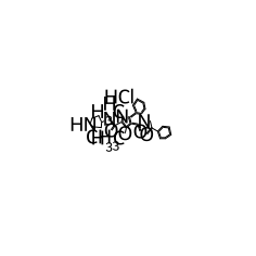 COc1c(C(=O)NC2CCNC(C)C2)n(C)c2c1c(=O)n(CC(=O)c1ccccc1)c1ccccc21.Cl